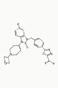 O=c1n(Cc2ccc(-c3nnc(C(F)F)o3)cc2)c2cc(F)ccc2n1C1CCN(C2COC2)CC1